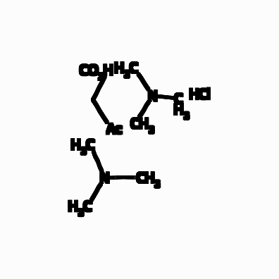 CC(=O)CC(=O)O.CN(C)C.CN(C)C.Cl